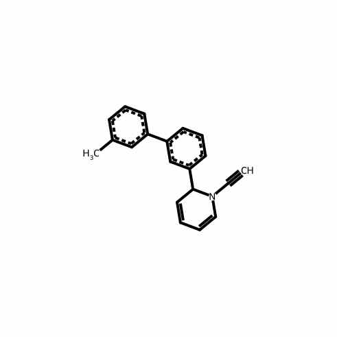 C#CN1C=CC=CC1c1cccc(-c2cccc(C)c2)c1